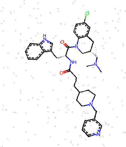 CN(C)C[C@H]1Cc2cc(Cl)ccc2N(C(=O)[C@@H](Cc2c[nH]c3ccccc23)NC(=O)CCC2CCN(Cc3cccnc3)CC2)C1